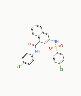 O=C(Nc1ccc(Cl)cc1)c1[c]c(NS(=O)(=O)c2ccc(Cl)cc2)cc2ccccc12